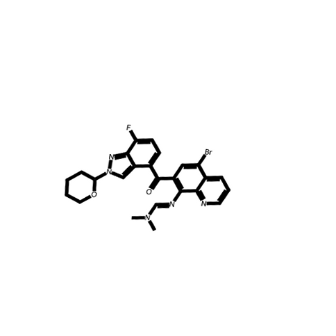 CN(C)/C=N/c1c(C(=O)c2ccc(F)c3nn(C4CCCCO4)cc23)cc(Br)c2cccnc12